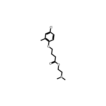 Cc1cc(Cl)ccc1OCCCC(=O)OCCN(C)C